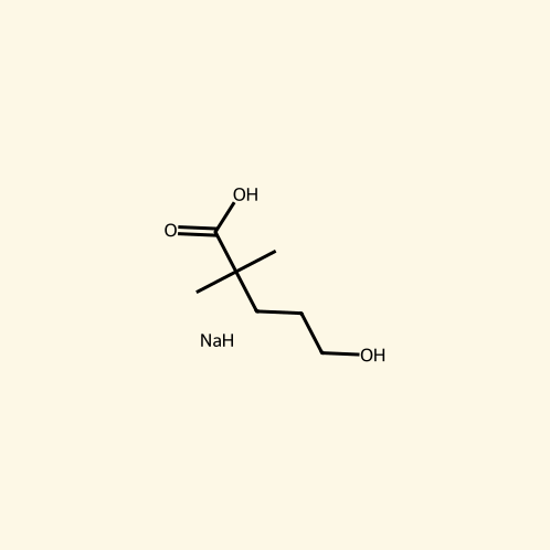 CC(C)(CCCO)C(=O)O.[NaH]